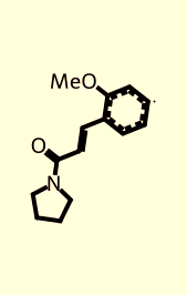 COc1c[c]ccc1C=CC(=O)N1CCCC1